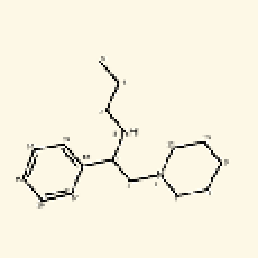 CCCNC(CN1CCCCC1)c1ccccc1